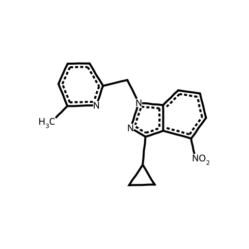 Cc1cccc(Cn2nc(C3CC3)c3c([N+](=O)[O-])cccc32)n1